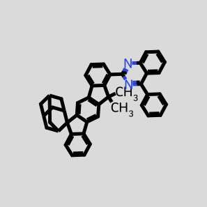 CC1(C)c2cc3c(cc2-c2cccc(-c4nc(-c5ccccc5)c5ccccc5n4)c21)C1(c2ccccc2-3)C2CC3CC(C2)CC1C3